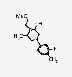 COCCN1C(C)CN(c2ccc(C)c(F)c2)CC1C